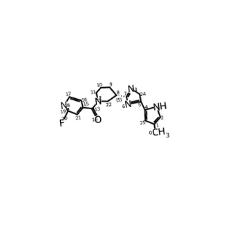 Cc1c[nH]c(C2=NC([C@H]3CCCN(C(=O)c4ccnc(F)c4)C3)=NC2)c1